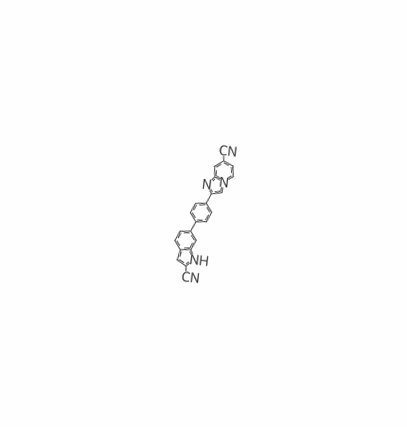 N#Cc1ccn2cc(-c3ccc(-c4ccc5cc(C#N)[nH]c5c4)cc3)nc2c1